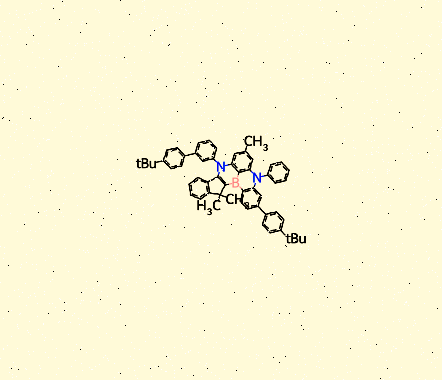 Cc1cc2c3c(c1)N(c1ccccc1)c1cc(-c4ccc(C(C)(C)C)cc4)ccc1B3C1=C(c3ccccc3C1(C)C)N2c1cccc(-c2ccc(C(C)(C)C)cc2)c1